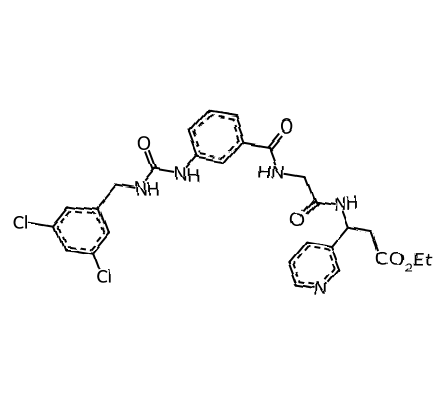 CCOC(=O)CC(NC(=O)CNC(=O)c1cccc(NC(=O)NCc2cc(Cl)cc(Cl)c2)c1)c1cccnc1